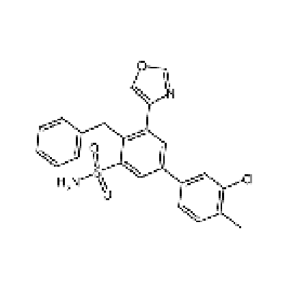 Cc1ccc(-c2cc(-c3cocn3)c(Cc3ccccc3)c(S(N)(=O)=O)c2)cc1Cl